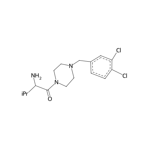 CC(C)C(N)C(=O)N1CCN(Cc2ccc(Cl)c(Cl)c2)CC1